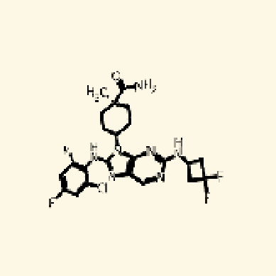 C[C@]1(C(N)=O)CC[C@@H](n2c(Nc3c(F)cc(F)cc3Cl)nc3cnc(NC4CC(F)(F)C4)nc32)CC1